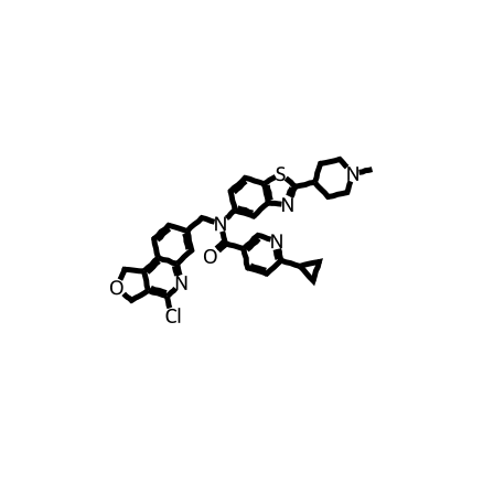 CN1CCC(c2nc3cc(N(Cc4ccc5c6c(c(Cl)nc5c4)COC6)C(=O)c4ccc(C5CC5)nc4)ccc3s2)CC1